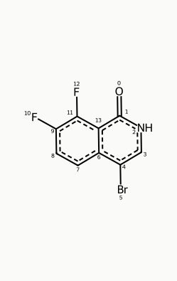 O=c1[nH]cc(Br)c2ccc(F)c(F)c12